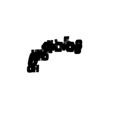 C[C@@H]1CN(c2ccc(S(C)(=O)=O)cc2F)CCN1c1nccc(C(=O)N[C@H]2C3CC4CC2C[C@](O)(C4)C3)n1